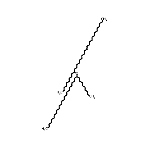 CCCCCCCCCCCCCCCCCCCCCCCC(CCCCCCCCC)OC(CCCCCCCCC)CCCCCCCCCCCCCCCCCCCCCCC